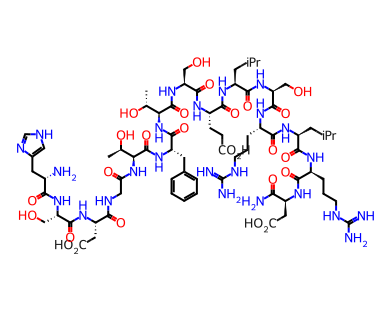 CC(C)C[C@H](NC(=O)[C@H](CCCNC(=N)N)NC(=O)[C@H](CO)NC(=O)[C@H](CC(C)C)NC(=O)[C@H](CCC(=O)O)NC(=O)[C@H](CO)NC(=O)[C@@H](NC(=O)[C@H](Cc1ccccc1)NC(=O)[C@@H](NC(=O)CNC(=O)[C@H](CC(=O)O)NC(=O)[C@H](CO)NC(=O)[C@@H](N)Cc1c[nH]cn1)[C@@H](C)O)[C@@H](C)O)C(=O)N[C@@H](CCCNC(=N)N)C(=O)N[C@@H](CC(=O)O)C(N)=O